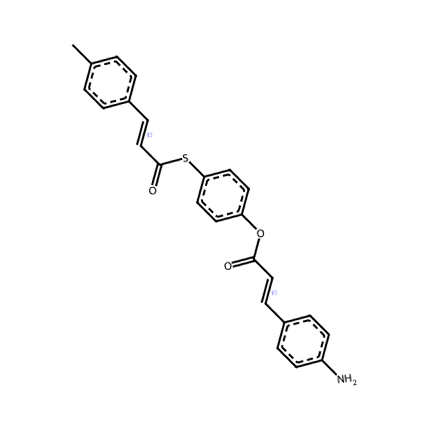 Cc1ccc(/C=C/C(=O)Sc2ccc(OC(=O)/C=C/c3ccc(N)cc3)cc2)cc1